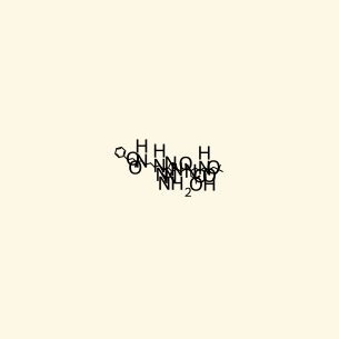 CC(C)(C)OC(=O)NCCN(CC(=O)O)C(=O)Cn1cnc2c(NCCCNC(=O)OCc3ccccc3)nc(N)nc21